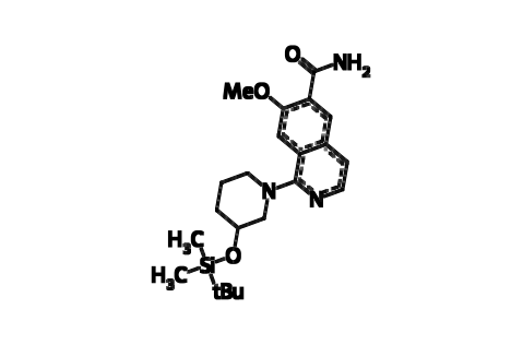 COc1cc2c(N3CCCC(O[Si](C)(C)C(C)(C)C)C3)nccc2cc1C(N)=O